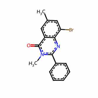 Cc1cc(Br)c2nc(-c3ccccc3)n(C)c(=O)c2c1